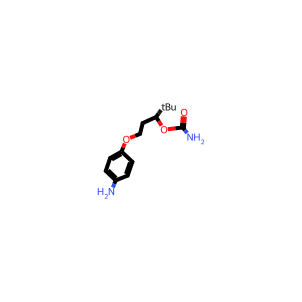 CC(C)(C)C(CCOc1ccc(N)cc1)OC(N)=O